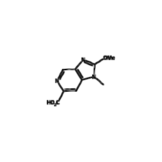 COc1nc2cnc(C(=O)O)cc2n1C